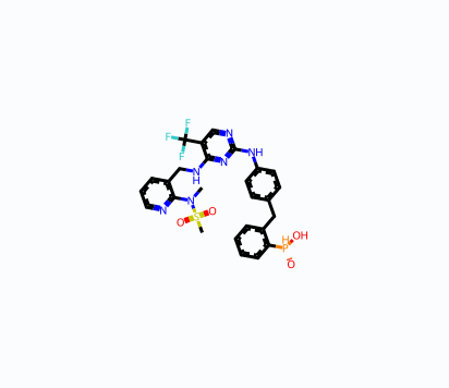 CN(c1ncccc1CNc1nc(Nc2ccc(Cc3ccccc3[PH](=O)O)cc2)ncc1C(F)(F)F)S(C)(=O)=O